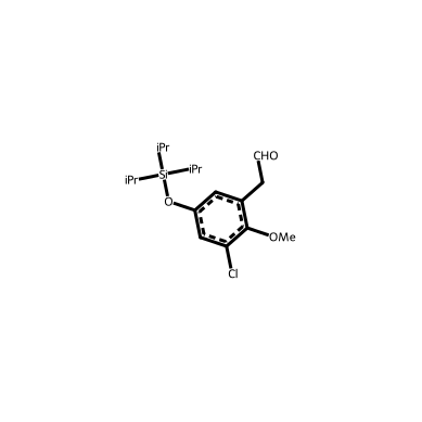 COc1c(Cl)cc(O[Si](C(C)C)(C(C)C)C(C)C)cc1CC=O